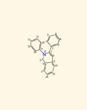 C1=C(c2ccccc2)N(c2ccccc2)Cc2ccccc21